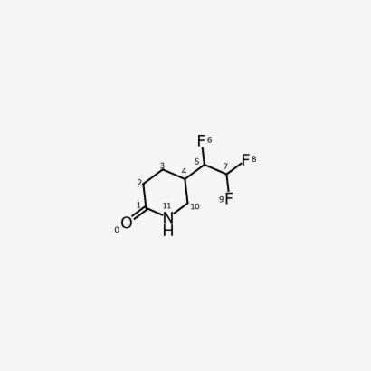 O=C1CCC(C(F)C(F)F)CN1